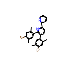 Cc1cc(-c2ccc(-c3ccccn3)nc2-c2cc(C)c(Br)cc2C)c(C)cc1Br